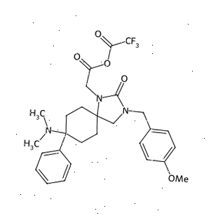 COc1ccc(CN2CC3(CCC(c4ccccc4)(N(C)C)CC3)N(CC(=O)OC(=O)C(F)(F)F)C2=O)cc1